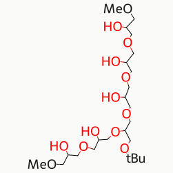 COCC(O)COCC(O)COCC(O)COCC(COC(C)(C)C)OCC(O)COCC(O)COC